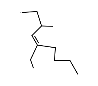 [CH2]CC(C)C=C(CC)CCCC